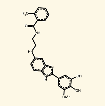 COc1cc(-c2nc3cc(NCCNC(=O)c4ccccc4C(F)(F)F)ccc3[nH]2)cc(O)c1O